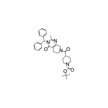 Cc1nc2c(c(=O)n1C(c1ccccc1)c1ccccc1)CCN(C(=O)C1CCN(C(=O)OC(C)(C)C)CC1)C2